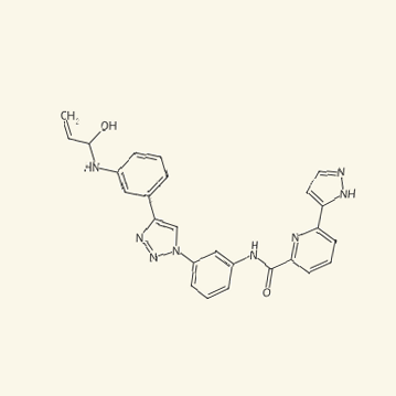 C=CC(O)Nc1cccc(-c2cn(-c3cccc(NC(=O)c4cccc(-c5ccn[nH]5)n4)c3)nn2)c1